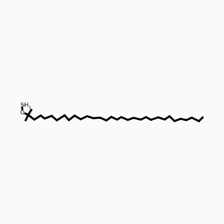 CCCCCCCCCCCCCCCCCCCCCCCCCCCCCCC(C)(C)O[SiH3]